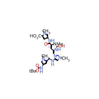 CN/C(=C\C(=CN1CN(C)C=C1NCc1cc(NC(=O)OC(C)(C)C)cn1C)NCO)C(=O)Nc1cc(C(=O)O)n(C)c1